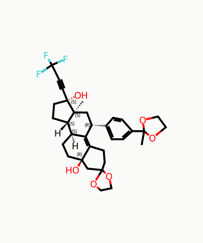 CC1(c2ccc([C@H]3C[C@@]4(C)[C@@H](CC[C@@]4(O)C#CC(F)(F)F)[C@@H]4CC[C@@]5(O)CC6(CCC5=C43)OCCO6)cc2)OCCO1